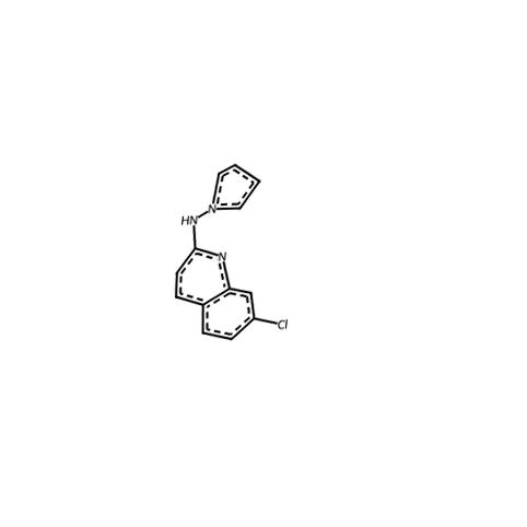 Clc1ccc2ccc(Nn3cccc3)nc2c1